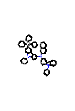 c1ccc(-n2c3ccccc3c3cc(N(c4ccc5ccccc5c4)c4ccc5c(c4)c4cc([Si](c6ccccc6)(c6ccccc6)c6ccccc6)ccc4n5-c4ccccc4)ccc32)cc1